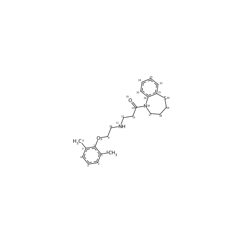 Cc1cccc(C)c1OCCNCCC(=O)N1CCCSc2ccccc21